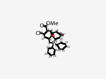 COC(=O)c1ccc(C[P+](c2ccccc2)(c2ccccc2)c2ccccc2)cc1Cl.[Br-]